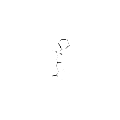 N[C@@H](CC(=O)OS(=O)(=O)c1ccccc1)C(=O)O